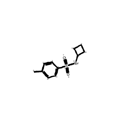 Cc1ccc(S(=O)(=O)NC2CCC2)cc1